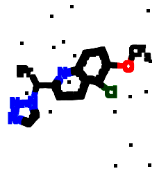 CC(C)C(c1ccc2c(Cl)c(OC(F)(F)F)ccc2n1)n1ccnn1